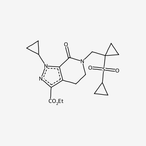 CCOC(=O)c1nn(C2CC2)c2c1CCN(CC1(S(=O)(=O)C3CC3)CC1)C2=O